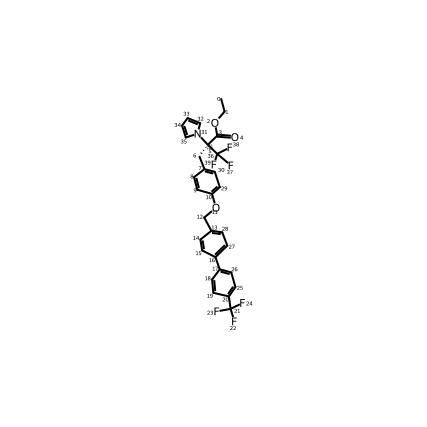 CCOC(=O)[C@](Cc1ccc(OCc2ccc(-c3ccc(C(F)(F)F)cc3)cc2)cc1)(n1cccc1)C(F)(F)F